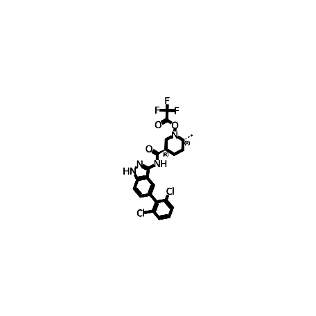 C[C@@H]1CC[C@@H](C(=O)Nc2n[nH]c3ccc(-c4c(Cl)cccc4Cl)cc23)CN1OC(=O)C(F)(F)F